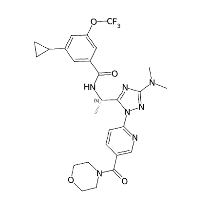 C[C@H](NC(=O)c1cc(OC(F)(F)F)cc(C2CC2)c1)c1nc(N(C)C)nn1-c1ccc(C(=O)N2CCOCC2)cn1